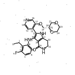 CCc1c(F)cccc1Nc1c(-c2ccncc2OC[C@@H]2COCCO2)[nH]c2c1C(=O)NCC2